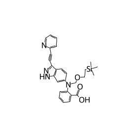 C[Si](C)(C)CCOCN(c1ccc2c(C#Cc3ccccn3)n[nH]c2c1)c1ccccc1C(=O)O